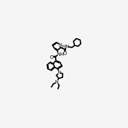 CCN(CC)C1CCN(c2ccc(C(=O)Nc3cccnc3C(=O)NCC3CCCCC3)c3ccccc23)C1